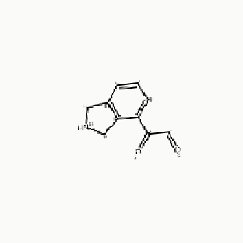 O=CC(=O)c1cccc2c1CNC2